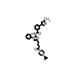 Cn1cc(-c2cccc(C(=O)Nc3nc(CCCC(=O)N4CCN(C5CC5)CC4)cn3-c3ccccc3)c2)cn1